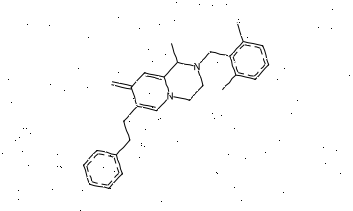 C=C1C=C2C(C)N(Cc3c(C)cccc3C)CCN2C=C1CCc1ccccc1